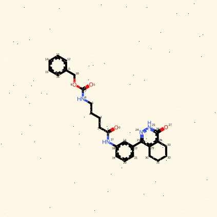 O=C(CCCCNC(=O)OCc1ccccc1)Nc1cccc(-c2n[nH]c(=O)c3c2CCCC3)c1